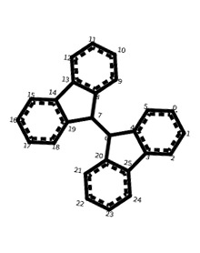 [c]1ccc2c(c1)C(C1c3ccccc3-c3ccccc31)c1ccccc1-2